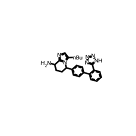 CCCCc1cnc2n1C(c1ccc(-c3ccccc3-c3nnn[nH]3)cc1)CCC2N